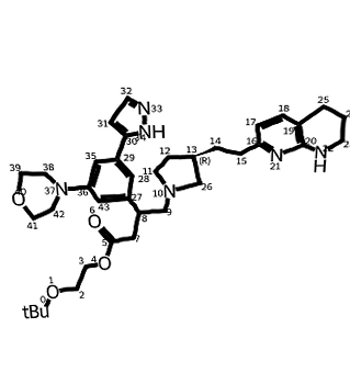 CC(C)(C)OCCOC(=O)CC(CN1CC[C@@H](CCc2ccc3c(n2)NCCC3)C1)c1cc(-c2ccn[nH]2)cc(N2CCOCC2)c1